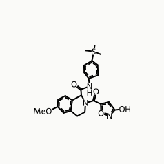 COc1ccc2c(c1)CCN(C(=O)c1cc(O)no1)C2C(=O)Nc1ccc(S(C)(C)C)cc1